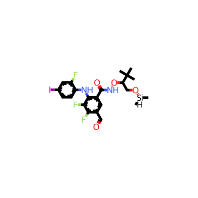 C[SiH](C)OCC(ONC(=O)c1cc(C=O)c(F)c(F)c1Nc1ccc(I)cc1F)C(C)(C)C